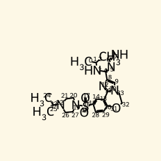 CC(C)N/C(=N\C=N)c1cn2c(n1)-c1cc(S(=O)(=O)N3CCN(C(C)C)CC3)ccc1OCC2